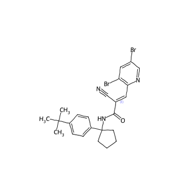 CC(C)(C)c1ccc(C2(NC(=O)/C(C#N)=C/c3ncc(Br)cc3Br)CCCC2)cc1